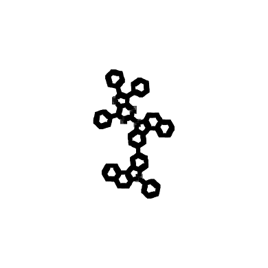 c1ccc(-c2sc3c(-c4ccccc4)nc(-n4c5ccc(-c6ccc7c(c6)c6c8ccccc8ccc6n7-c6ccccc6)cc5c5c6ccccc6ccc54)nc3c2-c2ccccc2)cc1